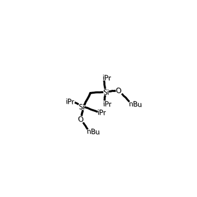 CCCCO[Si](C[Si](OCCCC)(C(C)C)C(C)C)(C(C)C)C(C)C